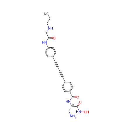 N#CCCNCC(=O)Nc1ccc(C#CC#Cc2ccc(C(=O)N[C@@H](CN)C(=O)NO)cc2)cc1